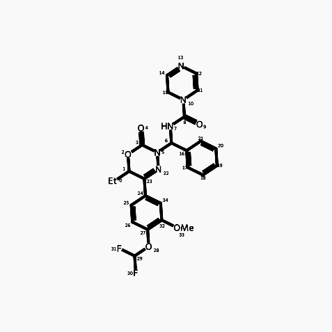 CCC1OC(=O)N(C(NC(=O)N2C=CN=CC2)c2ccccc2)N=C1c1ccc(OC(F)F)c(OC)c1